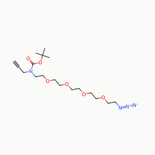 C#CCN(CCOCCOCCOCCOCCN=[N+]=[N-])C(=O)OC(C)(C)C